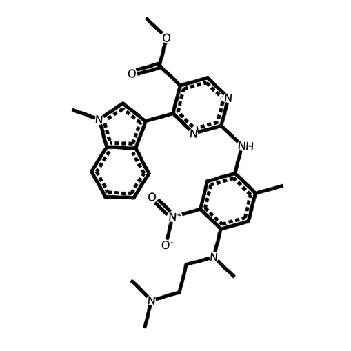 COC(=O)c1cnc(Nc2cc([N+](=O)[O-])c(N(C)CCN(C)C)cc2C)nc1-c1cn(C)c2ccccc12